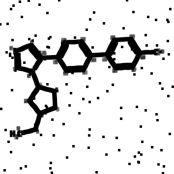 CCC1CCC(n2cncc2-c2ccc(-c3ccc(Cl)cc3)cc2)C1